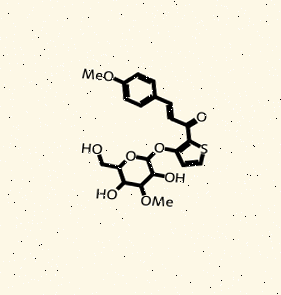 COc1ccc(/C=C/C(=O)c2sccc2OC2OC(CO)C(O)C(OC)C2O)cc1